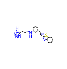 C(=C\c1nc2ccccc2s1)/c1cccc(NCCCc2nnn[nH]2)c1